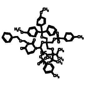 COc1ccc(C(OC[C@](CO[Si](C(C)C)(C(C)C)C(C)C)(COS(=O)(=O)c2ccc(C)cc2)OC(COS(=O)(=O)c2ccc(C)cc2)n2ccc(=O)n(COCc3ccccc3)c2=O)(c2ccccc2)c2ccc(OC)cc2)cc1